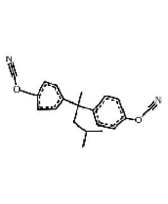 CC(C)CC(C)(c1ccc(OC#N)cc1)c1ccc(OC#N)cc1